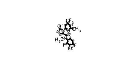 CCc1c(F)ccc(N(C)C(=O)C2COC(=O)N2c2cc(C(F)(F)F)cc(C)n2)c1F